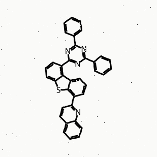 c1ccc(-c2nc(-c3ccccc3)nc(-c3cccc4sc5c(-c6ccc7ccccc7n6)cccc5c34)n2)cc1